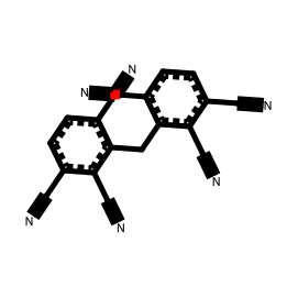 N#Cc1ccc(C#N)c(Cc2c(C#N)ccc(C#N)c2C#N)c1C#N